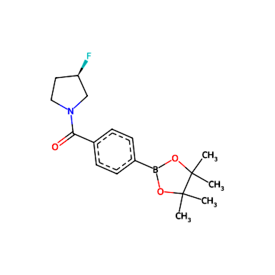 CC1(C)OB(c2ccc(C(=O)N3CC[C@@H](F)C3)cc2)OC1(C)C